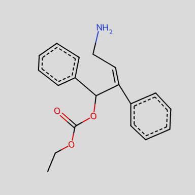 CCOC(=O)OC(C(=CCN)c1ccccc1)c1ccccc1